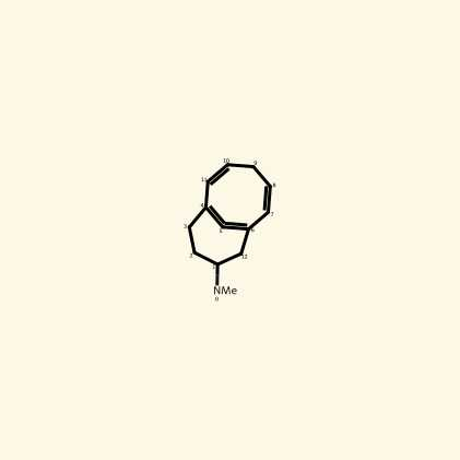 CNC1CCC2=C=C(/C=C\C/C=C\2)C1